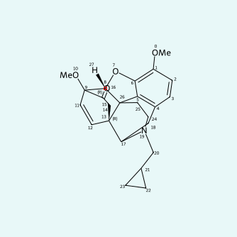 COc1ccc2c3c1O[C@H]1C4(OC)C=C[C@@]5(CC4=O)C(C2)N(CC2CC2)CCC315